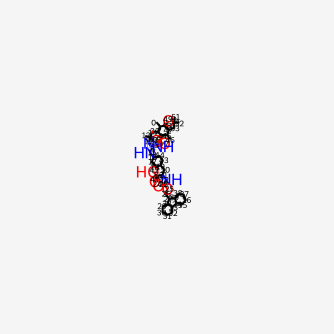 Cc1c(C)c(S(=O)(=O)N/C(=N\C(C)(C)C)Nc2ccc(CC(NC(=O)OCC3c4ccccc4-c4ccccc43)C(=O)O)cc2)c(C)c2c1OC(C)(C)C2